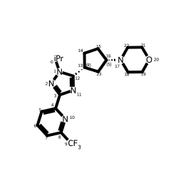 CC(C)n1nc(-c2cccc(C(F)(F)F)n2)nc1[C@@H]1CC[C@H](N2CCOCC2)C1